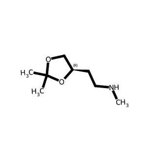 CNCC[C@@H]1COC(C)(C)O1